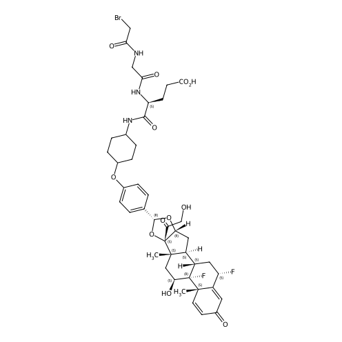 C[C@]12C=CC(=O)C=C1[C@@H](F)C[C@H]1[C@@H]3C[C@H]4O[C@@H](c5ccc(OC6CCC(NC(=O)[C@H](CCC(=O)O)NC(=O)CNC(=O)CBr)CC6)cc5)O[C@@]4(C(=O)CO)[C@@]3(C)C[C@H](O)[C@@]12F